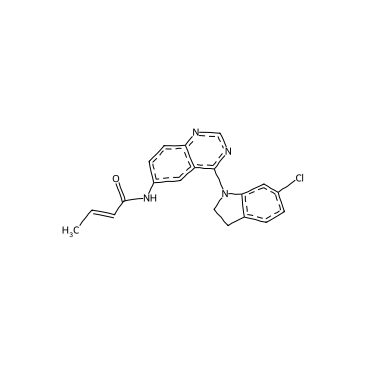 CC=CC(=O)Nc1ccc2ncnc(N3CCc4ccc(Cl)cc43)c2c1